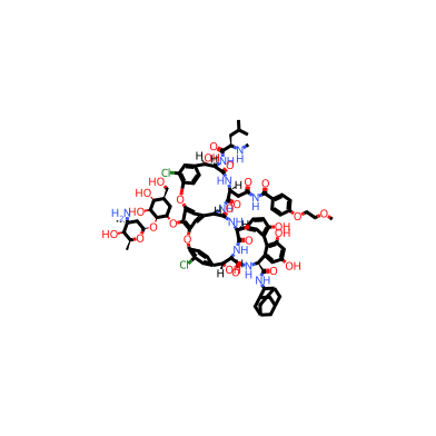 CN[C@H](CC(C)C)C(=O)N[C@H]1C(=O)N[C@@H](CC(=O)NC(=O)c2ccc(OCCOC)cc2)C(=O)N[C@H]2C(=O)N[C@H]3C(=O)N[C@H](C(=O)N[C@H](C(=O)NC4C5CC6CC(C5)CC4C6)c4cc(O)cc(O)c4-c4cc3ccc4O)[C@H](O)c3ccc(c(Cl)c3)Oc3cc2cc(c3O[C@@H]2C[C@H](CO)[C@@H](O)[C@H](O)[C@H]2O[C@H]2C[C@](C)(N)[C@H](O)[C@H](C)O2)Oc2ccc(cc2Cl)[C@H]1O